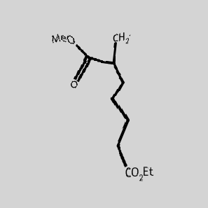 [CH2]C(CCCCC(=O)OCC)C(=O)OC